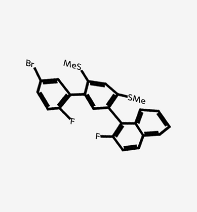 CSc1cc(SC)c(-c2c(F)ccc3ccccc23)cc1-c1cc(Br)ccc1F